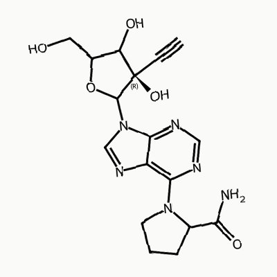 C#C[C@@]1(O)C(O)C(CO)OC1n1cnc2c(N3CCCC3C(N)=O)ncnc21